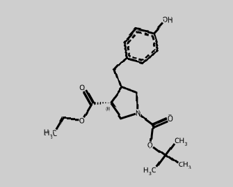 CCOC(=O)[C@H]1CN(C(=O)OC(C)(C)C)CC1Cc1ccc(O)cc1